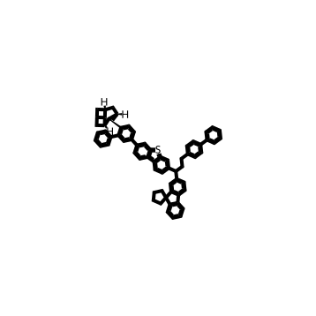 c1ccc(-c2ccc(CCC(c3ccc4c(c3)C3(CCCC3)c3ccccc3-4)c3ccc4c(c3)sc3cc(-c5ccc([C@H]6[C@@H]7C[C@H]8CC9C[C@@H]6[C@@]98C7)c(-c6ccccc6)c5)ccc34)cc2)cc1